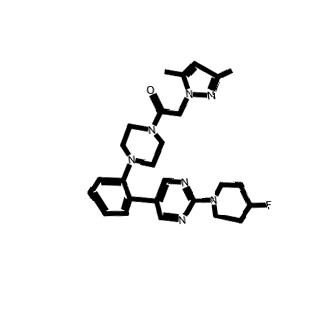 Cc1cc(C)n(CC(=O)N2CCN(c3ccccc3-c3cnc(N4CCC(F)CC4)nc3)CC2)n1